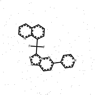 FC(F)(c1cccc2cccnc12)c1nnc2ccc(-c3ccncc3)nn12